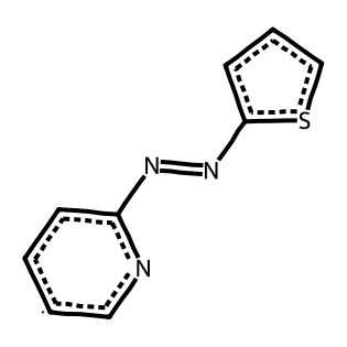 [c]1ccc(N=Nc2cccs2)nc1